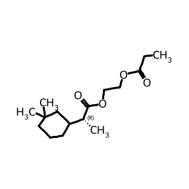 CCC(=O)OCCOC(=O)[C@H](C)C1CCCC(C)(C)C1